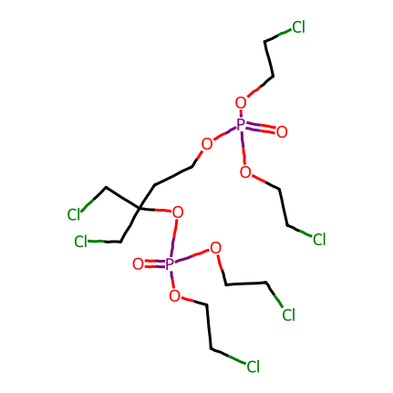 O=P(OCCCl)(OCCCl)OCCC(CCl)(CCl)OP(=O)(OCCCl)OCCCl